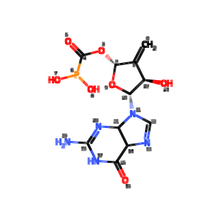 C=C1[C@@H](OC(=O)P(O)O)O[C@@H](N2C=NC3C(=O)NC(N)=NC32)[C@@H]1O